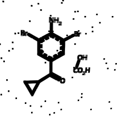 Nc1c(Br)cc(C(=O)C2CC2)cc1Br.O=C(O)O